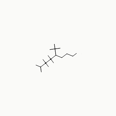 CCCCC(C(F)(F)F)C(F)(F)C(F)(F)C(F)F